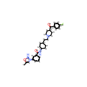 CC1=CN(c2cccc(C(=O)NC3CCC(CCN4CCC(C(=O)c5ccc(F)cc5)CC4)CC3)c2)NO1